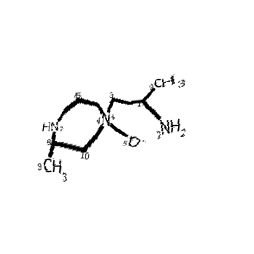 CC(N)C[N+]1([O-])CNC(C)C1